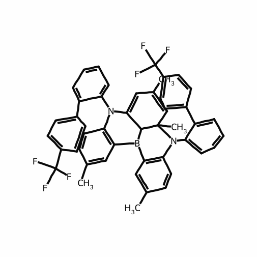 CC1=CC2(C)C3B(c4cc(C)ccc4N(c4ccccc4-c4ccc(C(F)(F)F)cc4)C3=C1)c1cc(C)ccc1N2c1ccccc1-c1ccc(C(F)(F)F)cc1